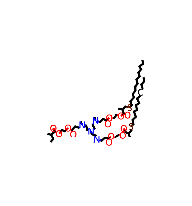 CCCCCCCCCCCCCCSCC(C)C(=O)OCCOC(=O)CCN(C)CCN(CCN(C)CCC(=O)OCCOC(=O)C(C)CC)CCN(C)CCC(=O)OCCOC(=O)C(C)CSCCCCCCCCCCCCCC